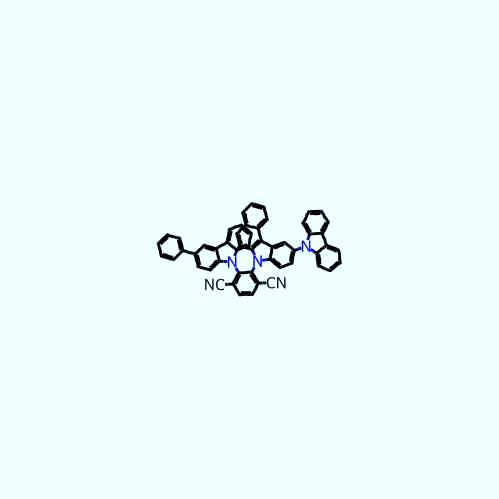 N#Cc1ccc(C#N)c(-n2c3ccc(-n4c5ccccc5c5ccccc54)cc3c3c4ccccc4ccc32)c1-n1c2ccccc2c2cc(-c3ccccc3)ccc21